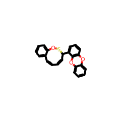 C1=Cc2ccccc2OSC(c2cccc3c2Oc2ccccc2O3)C=C1